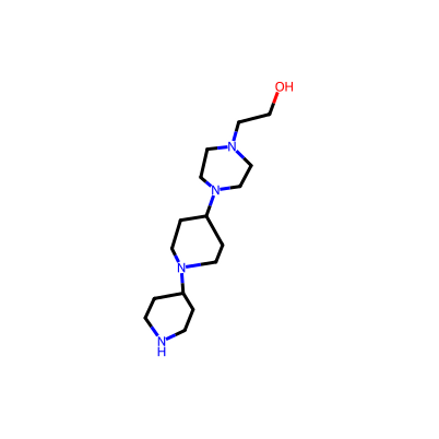 OCCN1CCN(C2CCN(C3CCNCC3)CC2)CC1